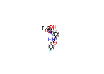 O=C(Cc1ccc(F)cc1)NCc1cccc(C2=NOC(O)(C(F)(F)F)C2)c1